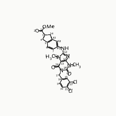 COC(=O)C1Cc2ccc(Nc3nc4c(c(=O)n(Cc5ccc(Cl)c(Cl)c5)c(=O)n4C)n3C)cc2C1